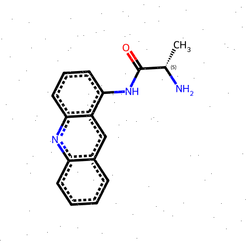 C[C@H](N)C(=O)Nc1cccc2nc3ccccc3cc12